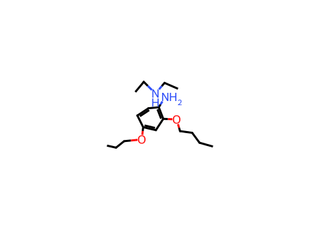 CCCCOc1cc(OCCC)ccc1N.CCNCC